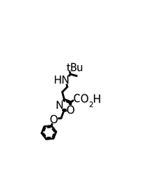 CC(NCCc1nc(COc2ccccc2)oc1C(=O)O)C(C)(C)C